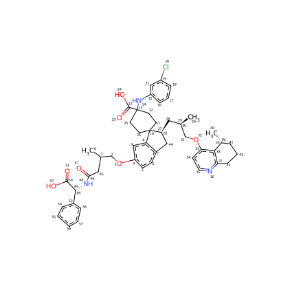 CC(COc1ccc2c(c1)C1(CCC(Nc3cccc(Cl)c3)(C(=O)O)CC1)[C@@H](C[C@@H](C)COc1ccnc3c1[C@H](C)CCC3)C2)CC(=O)N[C@@H](C(=O)O)c1ccccc1